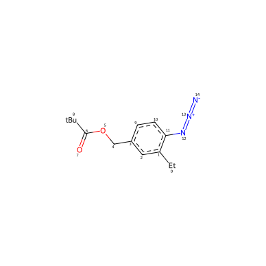 CCc1cc(COC(=O)C(C)(C)C)ccc1N=[N+]=[N-]